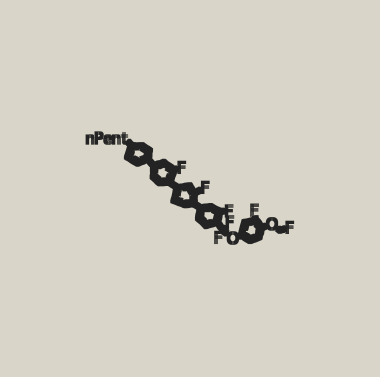 CCCCCc1ccc(-c2ccc(-c3ccc(-c4ccc(C(F)(F)Oc5ccc(OCF)c(F)c5)c(F)c4)c(F)c3)c(F)c2)cc1